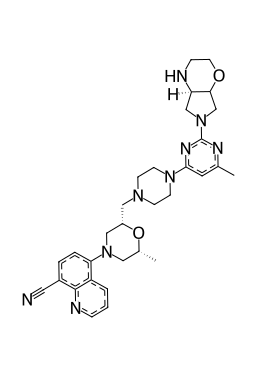 Cc1cc(N2CCN(C[C@H]3CN(c4ccc(C#N)c5ncccc45)C[C@@H](C)O3)CC2)nc(N2CC3OCCN[C@@H]3C2)n1